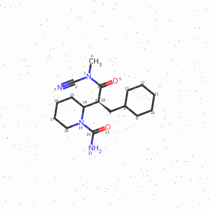 CN(C#N)C(=O)[C@@H](CC1CCCCC1)C1CCCCN1C(N)=O